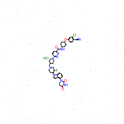 Cl.N#Cc1ccc(OC2CCC(NC(=O)c3ccc(N4CCC(CN5CC[C@H](n6ccc7c(N8CCC(=O)NC8=O)cccc76)[C@@H](F)C5)CC4)nn3)CC2)cc1Cl